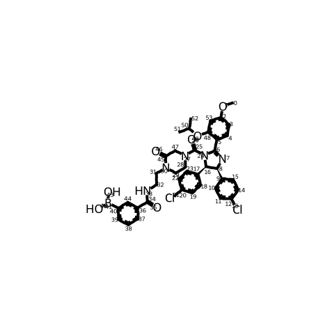 COc1ccc(C2=N[C@@H](c3ccc(Cl)cc3)[C@@H](c3ccc(Cl)cc3)N2C(=O)N2CCN(CCNC(=O)c3cccc(B(O)O)c3)C(=O)C2)c(OC(C)C)c1